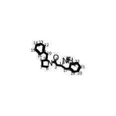 N[C@@H](CC(=O)N1CCCC1Cc1ccccc1)Cc1ccccc1F